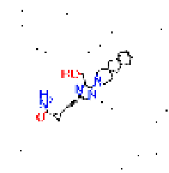 NC(=O)C1CC1C#Cc1cnc(N2CCC3(CC2)Cc2ccccc2C3)c(CO)n1